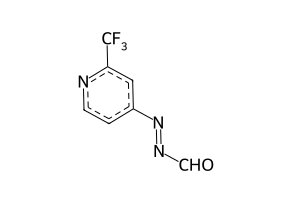 O=CN=Nc1ccnc(C(F)(F)F)c1